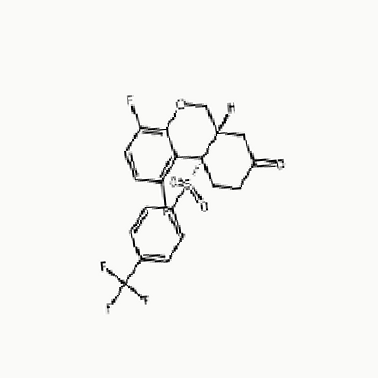 O=C1CC[C@@]2(S(=O)(=O)c3ccc(C(F)(F)F)cc3)c3c(F)ccc(F)c3OC[C@@H]2C1